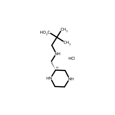 CC(C)(CNC[C@@H]1CNCCN1)C(=O)O.Cl